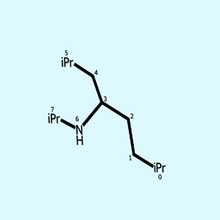 CC(C)CCC(CC(C)C)NC(C)C